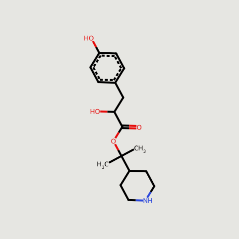 CC(C)(OC(=O)C(O)Cc1ccc(O)cc1)C1CCNCC1